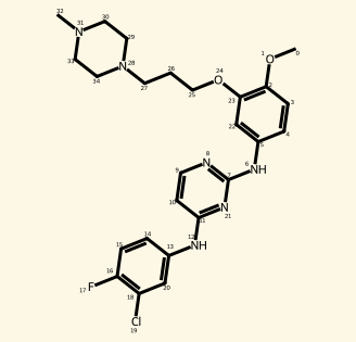 COc1ccc(Nc2nccc(Nc3ccc(F)c(Cl)c3)n2)cc1OCCCN1CCN(C)CC1